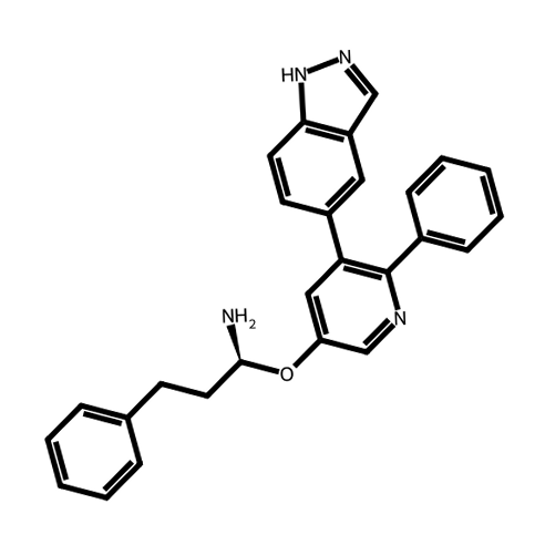 N[C@H](CCc1ccccc1)Oc1cnc(-c2ccccc2)c(-c2ccc3[nH]ncc3c2)c1